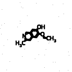 CCOc1cc2c(cc1O)C=NC(C)C2